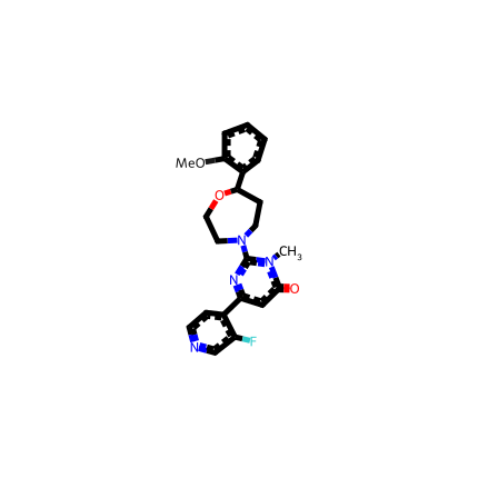 COc1ccccc1C1CCN(c2nc(-c3ccncc3F)cc(=O)n2C)CCO1